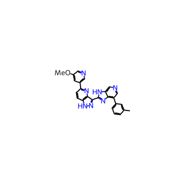 COc1cncc(-c2ccc3[nH]nc(-c4nc5c(-c6cccc(C)c6)cncc5[nH]4)c3n2)c1